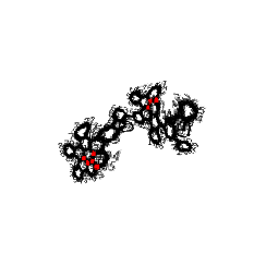 c1ccc(-c2cc3oc4c(-c5ccc(-c6c7ccccc7c(-c7cc(-c8ccccc8)c8oc9ccccc9c8c7)c7ccccc67)c(-c6cc7ccccc7c7ccccc67)c5)cccc4c3cc2-c2c3ccccc3c(-c3ccccc3-c3cc4ccccc4c4ccccc34)c3ccccc23)cc1